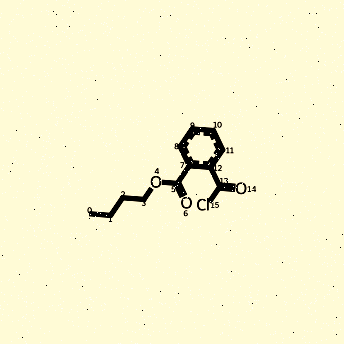 CCCCOC(=O)c1ccccc1C(=O)Cl